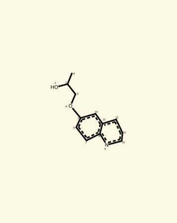 CC(O)COc1ccc2ncccc2c1